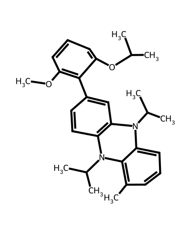 COc1cccc(OC(C)C)c1-c1ccc2c(c1)N(C(C)C)c1cccc(C)c1N2C(C)C